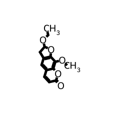 CCOC1Cc2cc3ccc(=O)oc3c(OC)c2O1